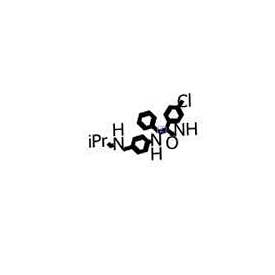 CC(C)CNCc1ccc(N/C(=C2\C(=O)Nc3cc(Cl)ccc32)c2ccccc2)cc1